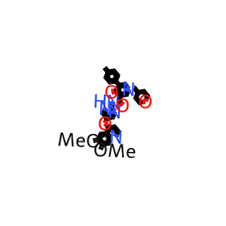 COc1cc2nccc(Oc3cnc(NC(=O)c4cn(CC5CCOCC5)cc(-c5ccc(C)cc5)c4=O)nc3)c2cc1OC